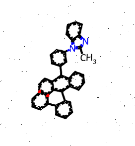 Cc1nc2ccccc2n1-c1cccc(-c2c3ccccc3c(-c3ccccc3-c3ccccc3)c3ccccc23)c1